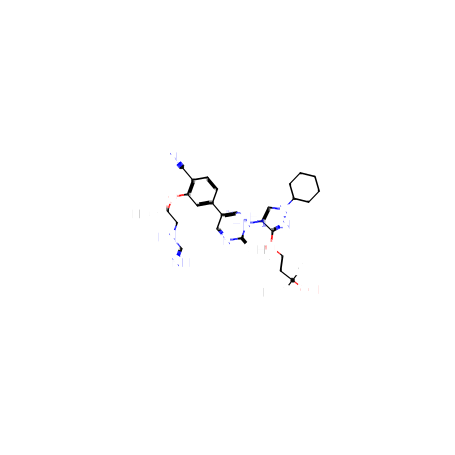 C=C(/N=C\C(=C/N)c1ccc(C#N)c(O[C@@H](C)CNC=N)c1)Nc1cn(C2CCCCC2)nc1OCCC(C)(C)O